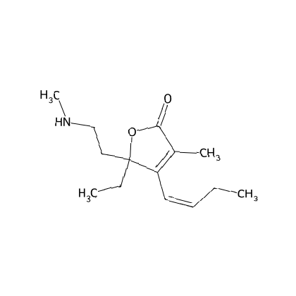 CC/C=C\C1=C(C)C(=O)OC1(CC)CCNC